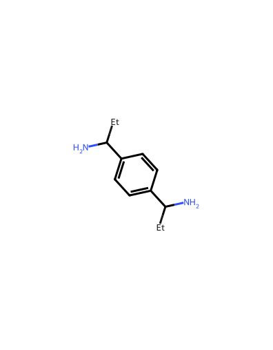 CCC(N)c1ccc(C(N)CC)cc1